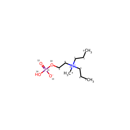 CCC[N+](C)(CCC)CCOP(=O)([O-])O